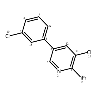 CC(C)c1ncc(-c2cccc(Cl)c2)cc1Cl